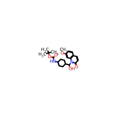 COc1ccc2ccc(=O)n(C(O)C3CCC(NC(=O)OC(C)(C)C)CC3)c2c1